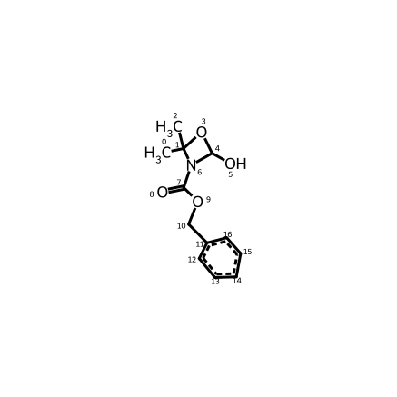 CC1(C)OC(O)N1C(=O)OCc1ccccc1